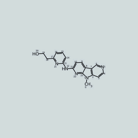 Cn1c2ccncc2c2ccc(Nc3cccc(CCO)n3)nc21